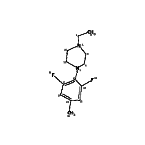 CCN1CCN(c2c(F)cc(C)cc2F)CC1